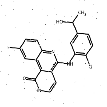 CC(O)c1ccc(Cl)c(Nc2nc3ccc(F)cc3c3c(=O)[nH]ccc23)c1